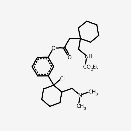 CCOC(=O)NCC1(CC(=O)Oc2cccc(C3(Cl)CCCCC3CN(C)C)c2)CCCCC1